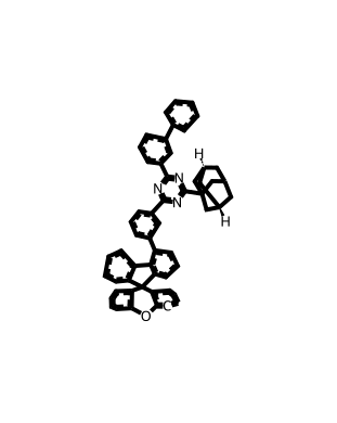 c1ccc(-c2cccc(-c3nc(-c4cccc(-c5cccc6c5-c5ccccc5C65c6ccccc6Oc6ccccc65)c4)nc(C45CC6C[C@H](C4)C[C@H](C6)C5)n3)c2)cc1